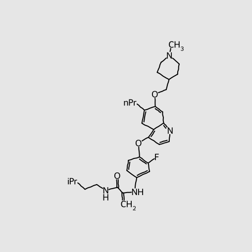 C=C(Nc1ccc(Oc2ccnc3cc(OCC4CCN(C)CC4)c(CCC)cc23)c(F)c1)C(=O)NCCC(C)C